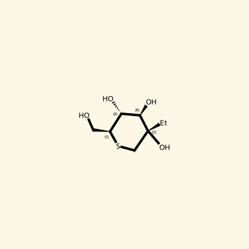 CC[C@@]1(O)[CH]S[C@@H](CO)[C@H](O)[C@H]1O